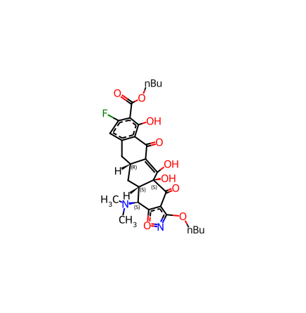 CCCCOC(=O)c1c(F)cc2c(c1O)C(=O)C1=C(O)[C@]3(O)C(=O)c4c(OCCCC)noc4[C@@H](N(C)C)[C@@H]3C[C@@H]1C2